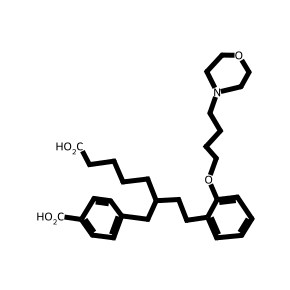 O=C(O)CCCCC(CCc1ccccc1OCCCCN1CCOCC1)Cc1ccc(C(=O)O)cc1